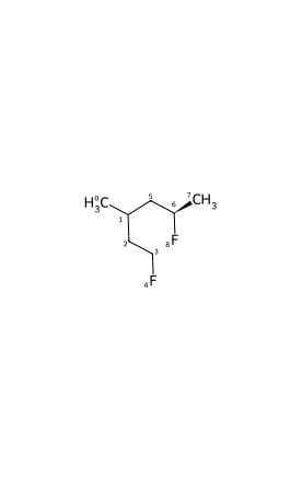 CC(CCF)C[C@@H](C)F